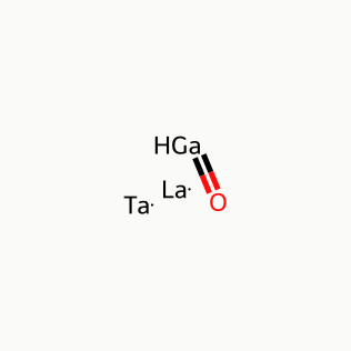 [La].[O]=[GaH].[Ta]